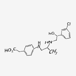 CC(CNc1ccc(CC(=O)O)cc1)NCC(O)c1cccc(Cl)c1